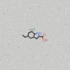 CCC1CCC2NC(C(=O)O)CC2C1.Cl